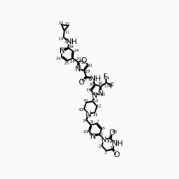 O=C1CCN(c2ccc(CN3CCC(n4cc(NC(=O)c5coc(-c6ccnc(NCC7CC7)c6)n5)c(C(F)F)n4)CC3)cn2)C(=O)N1